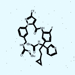 CC(C)(C)OC(=O)NCc1cccc(-n2nc(C(F)(F)F)cc2C(=O)Nc2cc(C(CCC3CC3)(NC(=O)C(C)(C)C)c3cccnc3)ccc2F)c1